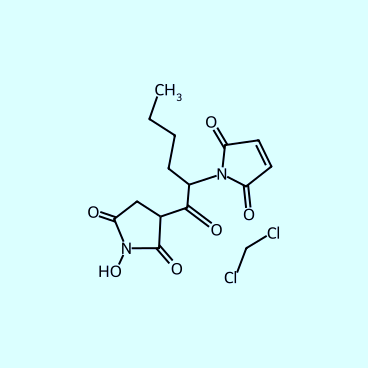 CCCCC(C(=O)C1CC(=O)N(O)C1=O)N1C(=O)C=CC1=O.ClCCl